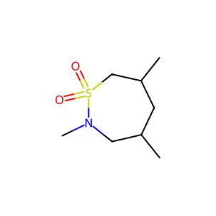 CC1CC(C)CS(=O)(=O)N(C)C1